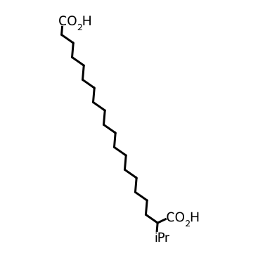 CC(C)C(CCCCCCCCCCCCCCCCCC(=O)O)C(=O)O